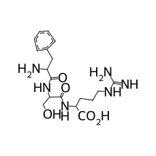 N=C(N)NCCCC(NC(=O)C(CO)NC(=O)C(N)Cc1ccccc1)C(=O)O